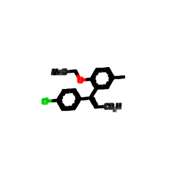 COCOc1ccc(C)cc1/C(=C\C(=O)O)c1ccc(Cl)cc1